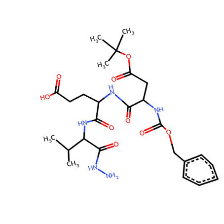 CC(C)C(NC(=O)C(CCC(=O)O)NC(=O)C(CC(=O)OC(C)(C)C)NC(=O)OCc1ccccc1)C(=O)NN